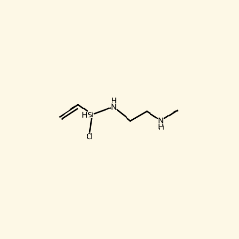 C=C[SiH](Cl)NCCNC